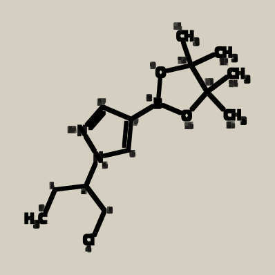 CCC(CCl)n1cc(B2OC(C)(C)C(C)(C)O2)cn1